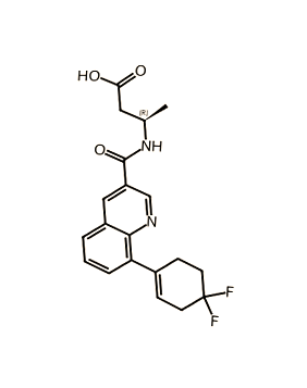 C[C@H](CC(=O)O)NC(=O)c1cnc2c(C3=CCC(F)(F)CC3)cccc2c1